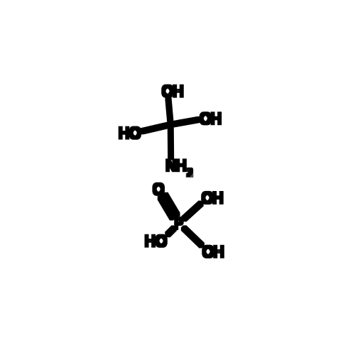 NC(O)(O)O.O=P(O)(O)O